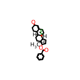 C[C@]12CC[C@H]3[C@@H](CCC4=CC(=O)CC[C@@]43C(F)F)[C@@H]1CCC2OC(=O)c1ccccc1